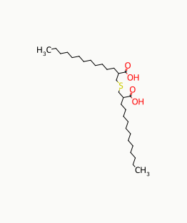 CCCCCCCCCCCCC(CSCC(CCCCCCCCCCCC)C(=O)O)C(=O)O